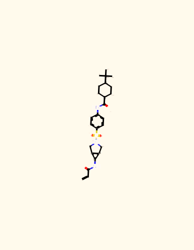 C=CC(=O)NC1C2CN(S(=O)(=O)c3ccc(NC(=O)C4CCC(C(C)(C)C)CC4)cc3)CC21